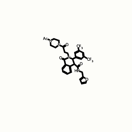 CC(=O)N1CCN(C(=O)CCN2C(=O)c3ccccc3C(C(=O)NCc3ccco3)C2c2cc(C(F)(F)F)cc(C(F)(F)F)c2)CC1